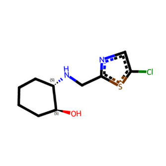 O[C@H]1CCCC[C@@H]1NCc1ncc(Cl)s1